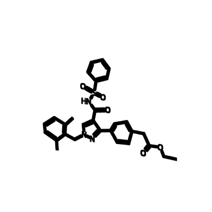 CCOC(=O)Cc1ccc(-c2nn(Cc3c(C)cccc3C)cc2C(=O)NS(=O)(=O)c2ccccc2)cc1